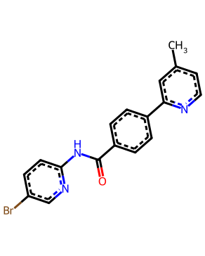 Cc1ccnc(-c2ccc(C(=O)Nc3ccc(Br)cn3)cc2)c1